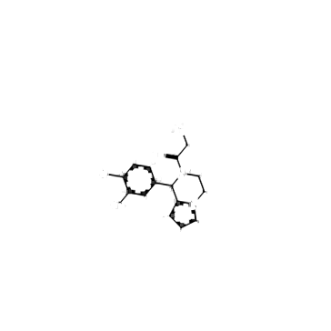 CC(C)CC(=O)N1CCn2cccc2C1c1ccc(Cl)c(Cl)c1